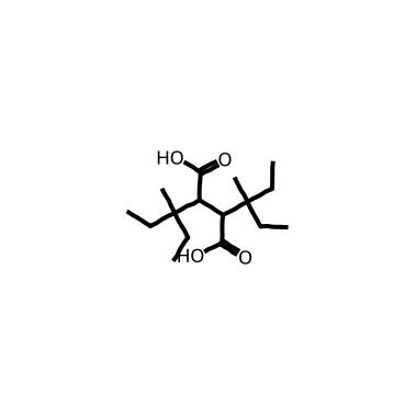 CCC(C)(CC)C(C(=O)O)C(C(=O)O)C(C)(CC)CC